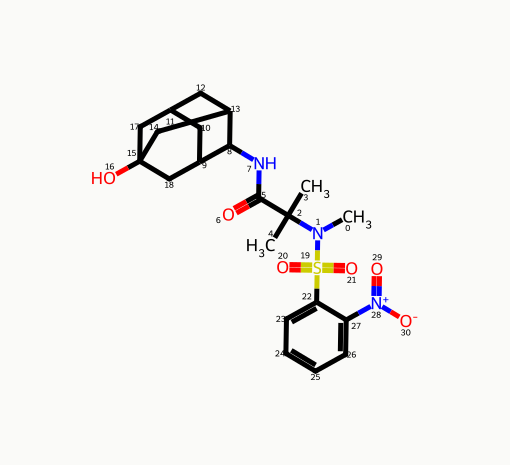 CN(C(C)(C)C(=O)NC1C2CC3CC1CC(O)(C3)C2)S(=O)(=O)c1ccccc1[N+](=O)[O-]